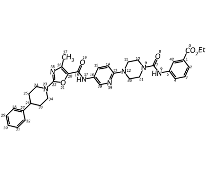 CCOC(=O)c1cccc(NC(=O)N2CCN(c3ccc(NC(=O)c4oc(N5CCC(c6ccccc6)CC5)nc4C)cn3)CC2)c1